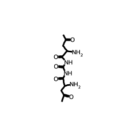 CC(=O)CC(N)C(=O)NC(=O)NC(=O)C(N)CC(C)=O